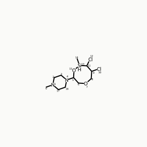 CN1CCN(C2COCC(Cl)C(Cl)[SiH](C)O2)CC1